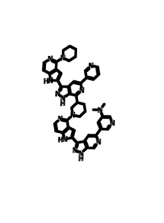 CN(C)c1cncc(-c2cc3c(-c4cc5c(N6CCCC(c7nc(-c8cccnc8)cc8c(-c9cc%10c(N%11CCCCC%11)nccc%10[nH]9)n[nH]c78)C6)nccc5[nH]4)n[nH]c3cn2)c1